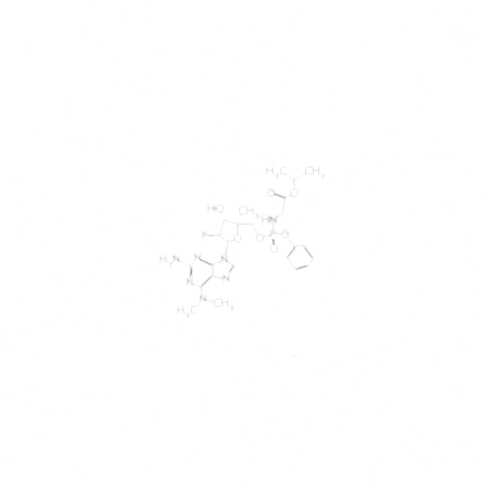 CC(C)OC(=O)CNP(=O)(OC[C@@]1(C)O[C@@H](n2cnc3c(N(C)C)nc(N)nc32)[C@@H](F)[C@@H]1O)Oc1ccccc1